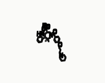 CC(C)OC(=O)C1=CN(C(=O)c2ccc(OCCCN3CCCCC3)cc2)CC(C)(C)c2c1[nH]c1ccccc21